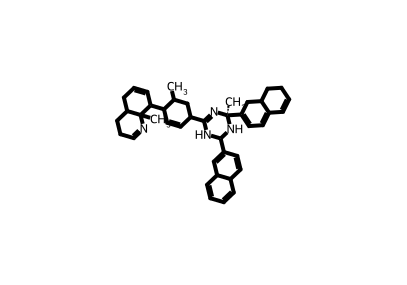 CC1CC(C2=N[C@@](C)(C3=CC=C4C=CCCC4C3)NC(C3=CC4C=CC=CC4C=C3)N2)C=CC1C1C=CCC2CCC=NC21C